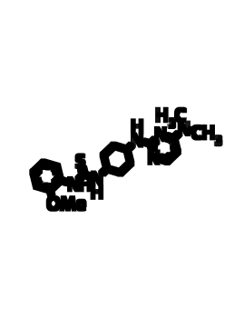 COc1ccccc1NC(=S)NC1CCC(Nc2nccc(N(C)C)n2)CC1